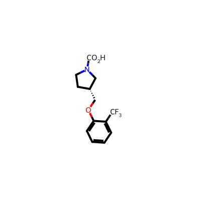 O=C(O)N1CC[C@@H](COc2ccccc2C(F)(F)F)C1